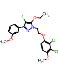 CCOc1c(F)c(-c2cccc(OC)c2)nn1CCOc1ccc(OC)c(Cl)c1Cl